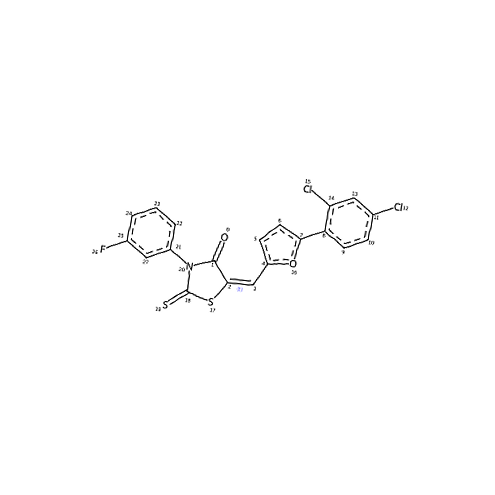 O=C1/C(=C\c2ccc(-c3ccc(Cl)cc3Cl)o2)SC(=S)N1c1cccc(F)c1